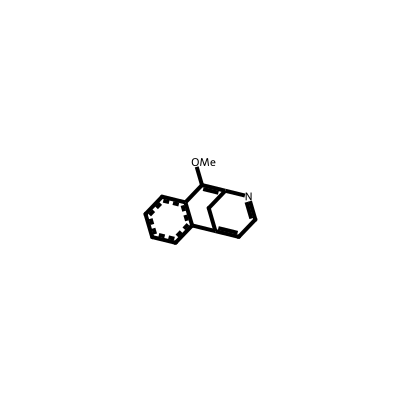 COC1=C2CC(=CC=N2)c2ccccc21